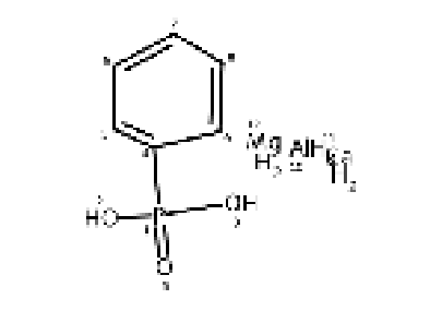 O=P(O)(O)c1ccccc1.[AlH3].[CaH2].[MgH2]